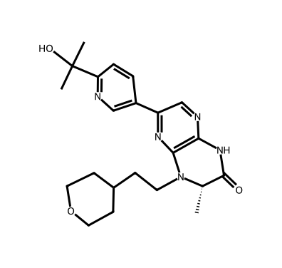 C[C@H]1C(=O)Nc2ncc(-c3ccc(C(C)(C)O)nc3)nc2N1CCC1CCOCC1